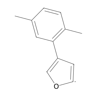 Cc1ccc(C)c(-c2c[c]oc2)c1